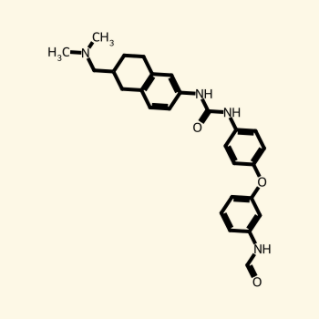 CN(C)CC1CCc2cc(NC(=O)Nc3ccc(Oc4cccc(NC=O)c4)cc3)ccc2C1